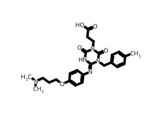 Cc1ccc(Cn2c(=O)n(CCC(=O)O)c(=O)[nH]/c2=N\c2ccc(OCCCN(C)C)cc2)cc1